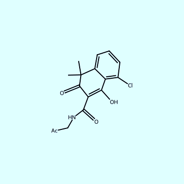 CC(=O)CNC(=O)C1=C(O)c2c(Cl)cccc2C(C)(C)C1=O